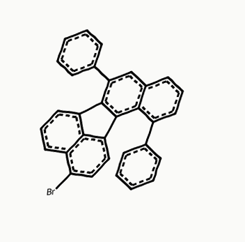 Brc1ccc2c3c(cccc13)-c1c(-c3ccccc3)cc3cccc(-c4ccccc4)c3c1-2